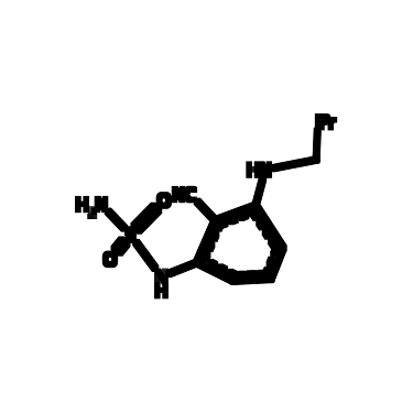 CC(C)CNc1cccc(NS(N)(=O)=O)c1C#N